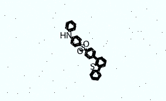 O=S(=O)(c1ccc(Nc2ccccc2)cc1)c1ccc(-c2cccc3c2sc2ccccc23)cc1